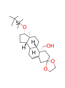 CC(C)(C)[Si](C)(C)O[C@H]1CC[C@H]2[C@@H]3CC=C4CC5(CC[C@]4(CO)[C@H]3CC[C@]12C)OCCO5